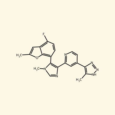 Cc1cc2c(F)ccc(-c3c(-c4cc(-c5nn[nH]c5C)ccn4)ncn3C)c2o1